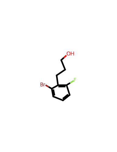 OCCCc1c(F)cccc1Br